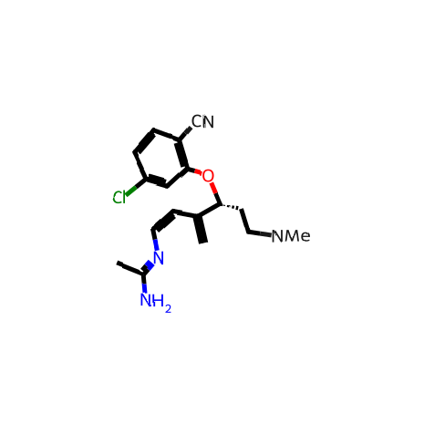 C=C(/C=C\N=C(/C)N)[C@@H](CCNC)Oc1cc(Cl)ccc1C#N